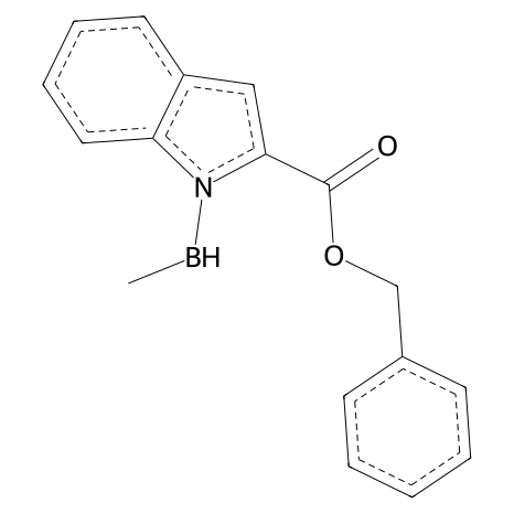 CBn1c(C(=O)OCc2ccccc2)cc2ccccc21